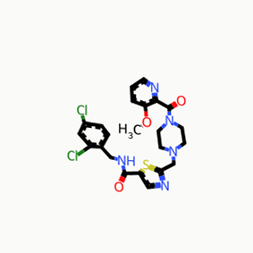 COc1cccnc1C(=O)N1CCN(Cc2ncc(C(=O)NCc3ccc(Cl)cc3Cl)s2)CC1